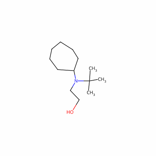 CC(C)(C)N(CCO)C1CCCCCC1